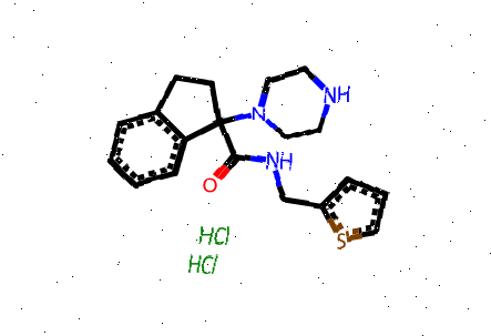 Cl.Cl.O=C(NCc1cccs1)C1(N2CCNCC2)CCc2ccccc21